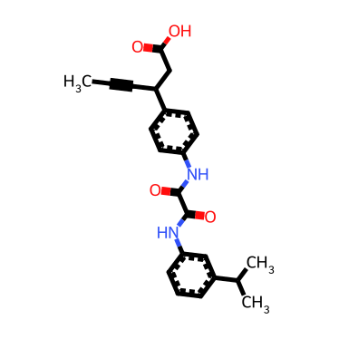 CC#CC(CC(=O)O)c1ccc(NC(=O)C(=O)Nc2cccc(C(C)C)c2)cc1